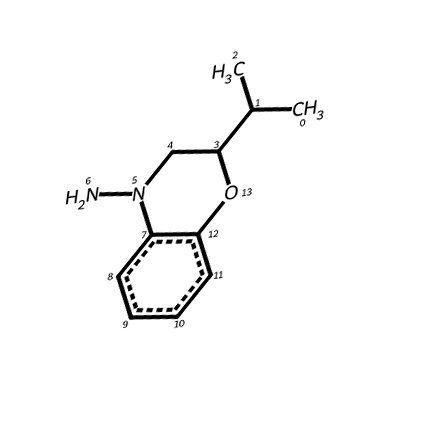 CC(C)C1CN(N)c2ccccc2O1